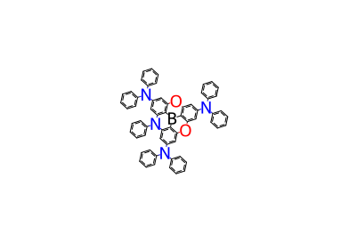 c1ccc(N(c2ccccc2)c2cc3c4c(c2)Oc2cc(N(c5ccccc5)c5ccccc5)cc5c2B4c2c(cc(N(c4ccccc4)c4ccccc4)cc2N5c2ccccc2)O3)cc1